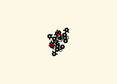 Cc1cc(C)c(N2c3cc(-c4c(C)cccc4C)cc4c3B(c3sc5c(c32)N(c2ccccc2)c2cc(-c3c(C)cccc3C)cc3c2B5c2ccccc2O3)c2sc3c(c2N4c2c(C)cc(C)cc2C)N(c2c(C)cc(C)cc2C)c2cc(-c4c(C)cccc4C)cc4c2B3c2ccccc2O4)c(C)c1